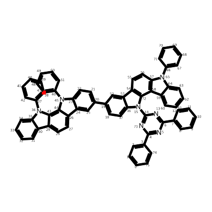 c1ccc(-c2nc(-c3ccccc3)nc(-n3c4ccc(-c5ccc6c(c5)c5ccc7c8ccccc8n(-c8ccccc8)c7c5n6-c5ccccc5)cc4c4ccc5c(c6ccccc6n5-c5ccccc5)c43)n2)cc1